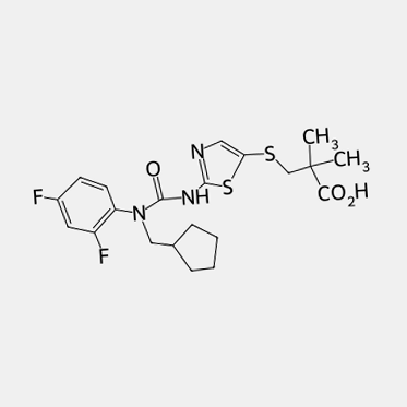 CC(C)(CSc1cnc(NC(=O)N(CC2CCCC2)c2ccc(F)cc2F)s1)C(=O)O